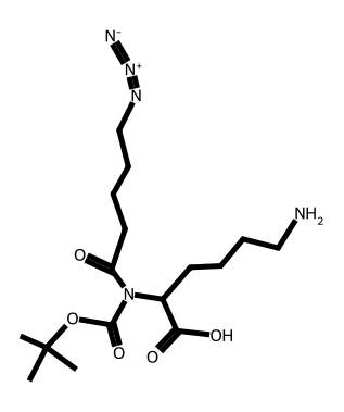 CC(C)(C)OC(=O)N(C(=O)CCCCN=[N+]=[N-])C(CCCCN)C(=O)O